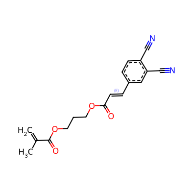 C=C(C)C(=O)OCCCOC(=O)/C=C/c1ccc(C#N)c(C#N)c1